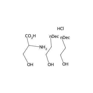 CCCCCCCCCCCCO.CCCCCCCCCCCCO.Cl.NC(CO)C(=O)O